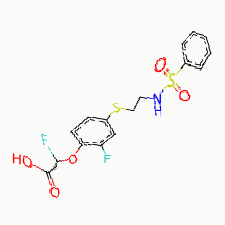 O=C(O)C(F)Oc1ccc(SCCNS(=O)(=O)c2ccccc2)cc1F